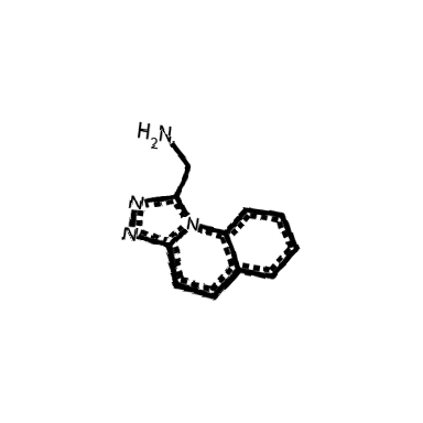 NCc1nnc2ccc3ccccc3n12